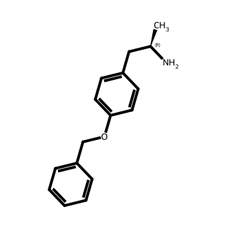 C[C@@H](N)Cc1ccc(OCc2ccccc2)cc1